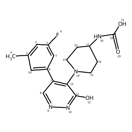 Cc1cc(F)cc(-c2cnnc(O)c2N2CCC(NC(=O)O)CC2)c1